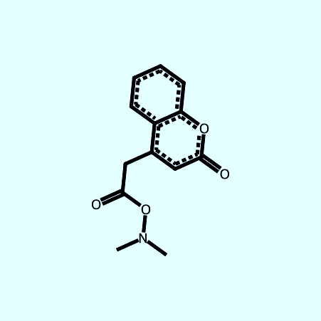 CN(C)OC(=O)Cc1cc(=O)oc2ccccc12